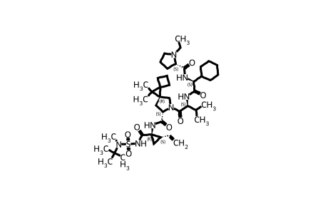 C=C[C@@H]1C[C@]1(NC(=O)[C@@H]1C[C@@]2(CN1C(=O)[C@@H](NC(=O)[C@@H](NC(=O)[C@@H]1CCCN1CC)C1CCCCC1)C(C)C)C(C)(C)C21CCC1)C(=O)NS(=O)(=O)N(C)C(C)(C)C